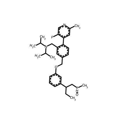 CCC(C[PH](C)=O)c1cccc(OCc2ccc(-c3cc(C)ncc3F)c(CN(C(C)C)C(C)C)c2)c1